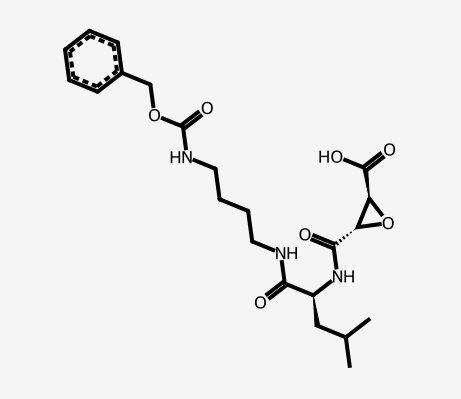 CC(C)C[C@H](NC(=O)[C@H]1O[C@@H]1C(=O)O)C(=O)NCCCCNC(=O)OCc1ccccc1